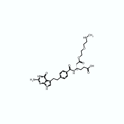 CNCCOCCOC(=O)C[C@H](CCC(=O)O)NC(=O)c1ccc(CCc2c[nH]c3nc(N)[nH]c(=O)c23)cc1